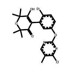 CCc1ccc(Oc2ncc(C)c(Cl)n2)cc1C1=C(O)C(C)(C)OC(C)(C)C1=O